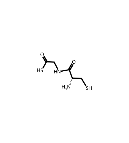 N[C@@H](CS)C(=O)NCC(=O)S